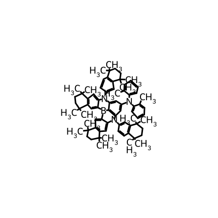 Cc1ccccc1N(c1cc2c3c(c1)N(c1ccc4c(c1)C(C)(C)CCC4(C)C)c1cc4c(cc1B3c1cc3c(cc1N2c1ccc2c(c1)C(C)(C)CCC2(C)C)C(C)(C)CCC3(C)C)C(C)(C)CCC4(C)C)c1ccccc1C